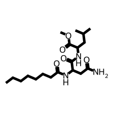 CCCCCCCC(=O)NC(CC(N)=O)C(=O)NC(CC(C)C)C(=O)OC